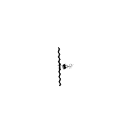 CCCCCCCCOCCCCCCCC.O=P([O-])([O-])[O-].[K+].[K+].[K+]